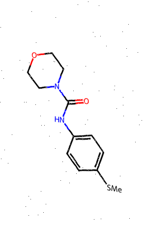 CSc1ccc(NC(=O)N2CCOCC2)cc1